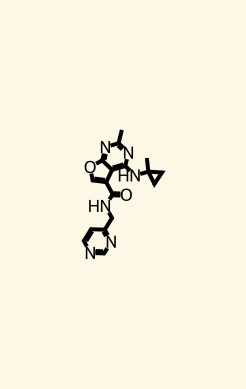 Cc1nc(NC2(C)CC2)c2c(C(=O)NCc3ccncn3)coc2n1